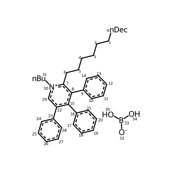 CCCCCCCCCCCCCCCCc1c(-c2ccccc2)c(-c2ccccc2)c(-c2ccccc2)c[n+]1CCCC.[O-]B(O)O